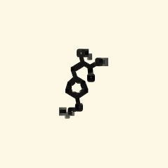 COc1ccc(C=C(C)C(=O)O)cc1